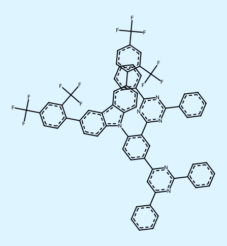 FC(F)(F)c1ccc(-c2ccc3c(c2)c2cc(-c4ccc(C(F)(F)F)cc4C(F)(F)F)ccc2n3-c2ccc(-c3cc(-c4ccccc4)nc(-c4ccccc4)n3)cc2-c2nc(-c3ccccc3)nc(-c3ccccc3)n2)c(C(F)(F)F)c1